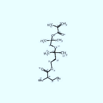 C=C(C)C(=O)OC(C)(C)COC(C)(C)CCOC(=O)C(CC(C)(C)C)C(C)(C)C